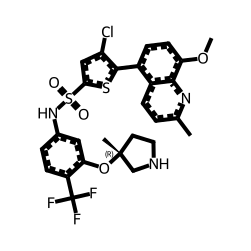 COc1ccc(-c2sc(S(=O)(=O)Nc3ccc(C(F)(F)F)c(O[C@]4(C)CCNC4)c3)cc2Cl)c2ccc(C)nc12